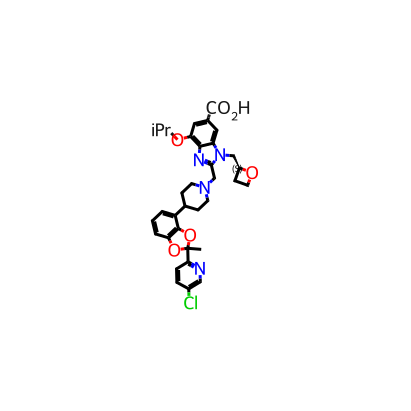 CC(C)Oc1cc(C(=O)O)cc2c1nc(CN1CCC(c3cccc4c3OC(C)(c3ccc(Cl)cn3)O4)CC1)n2C[C@@H]1CCO1